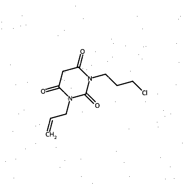 C=CCN1C(=O)CC(=O)N(CCCCl)C1=O